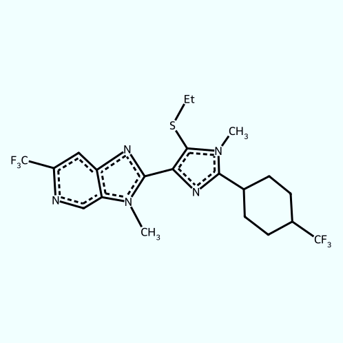 CCSc1c(-c2nc3cc(C(F)(F)F)ncc3n2C)nc(C2CCC(C(F)(F)F)CC2)n1C